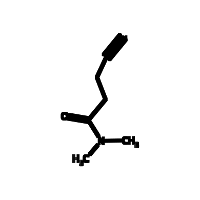 [C]#CCCC(=O)N(C)C